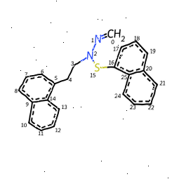 C=NN(CCc1cccc2ccccc12)Sc1cccc2ccccc12